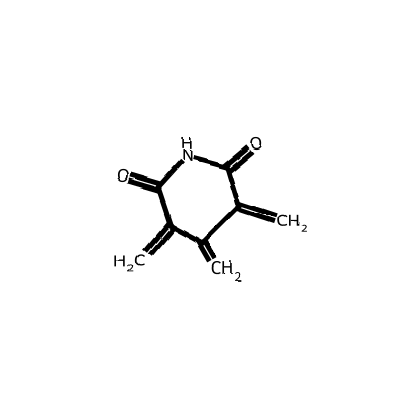 C=C1C(=C)C(=O)NC(=O)C1=C